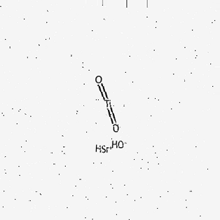 [OH-].[O]=[Ti]=[O].[SrH+]